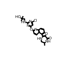 CC1CNc2c(oc3ccc4nc(Oc5cc(Cl)nc(NCC(C)(C)O)n5)ccc4c23)C(=O)N1